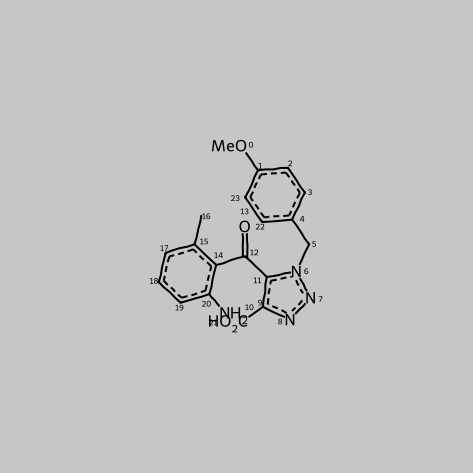 COc1ccc(Cn2nnc(C(=O)O)c2C(=O)c2c(C)cccc2N)cc1